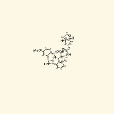 COc1ccc([S+]([O-])N(C[C@@H](O)[C@H](Cc2ccccc2)NC(=O)O[C@@H]2C[C@@H]3CCO[C@@H]3C2)C2CNC2)cc1